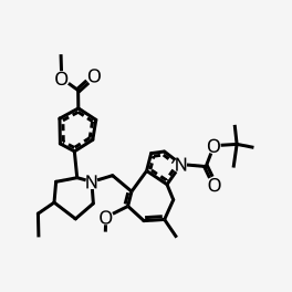 CCC1CCN(CC2=C(OC)C=C(C)Cc3c2ccn3C(=O)OC(C)(C)C)C(c2ccc(C(=O)OC)cc2)C1